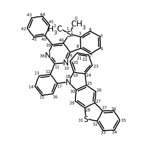 C[Si]1(C)c2ccccc2-c2nc(-c3ccccc3-n3c4ccccc4c4cc5c(cc43)sc3ccccc35)nc(-c3ccccc3)c21